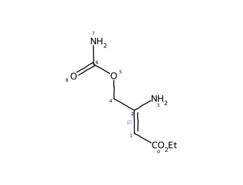 CCOC(=O)/C=C(\N)COC(N)=O